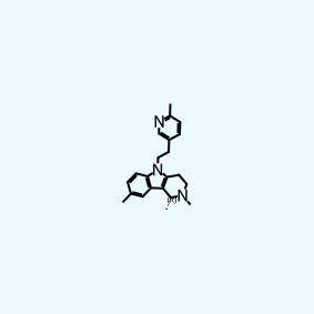 Cc1ccc2c(c1)c1c(n2CCc2ccc(C)nc2)CCN(C)[C@@H]1C